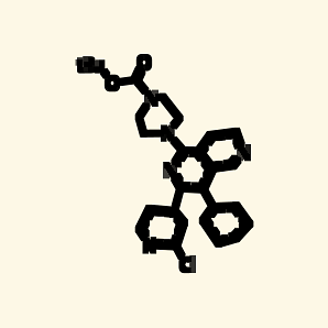 CC(C)(C)OC(=O)N1CCN(c2nc(-c3ccnc(Cl)c3)c(-c3ccccc3)c3cnccc23)CC1